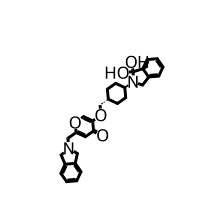 O=c1cc(CN2Cc3ccccc3C2)occ1OC[C@H]1CC[C@H](N2Cc3ccccc3C2(O)O)CC1